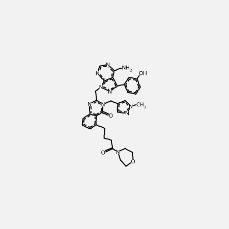 Cn1cc(Cn2c(Cn3nc(-c4cccc(O)c4)c4c(N)ncnc43)nc3cccc(CCCC(=O)N4CCOCC4)c3c2=O)cn1